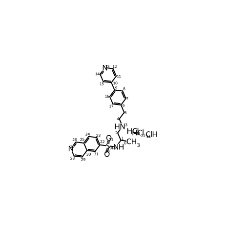 CC(CNCCc1ccc(-c2ccncc2)cc1)NS(=O)(=O)c1ccc2cnccc2c1.Cl.Cl.Cl